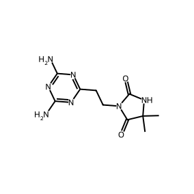 CC1(C)NC(=O)N(CCc2nc(N)nc(N)n2)C1=O